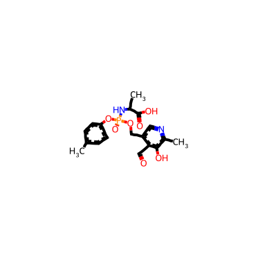 Cc1ccc(OP(=O)(NC(C)C(=O)O)OCc2cnc(C)c(O)c2C=O)cc1